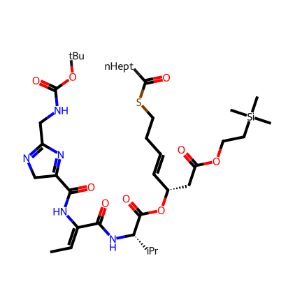 C/C=C(\NC(=O)C1=NC(CNC(=O)OC(C)(C)C)=NC1)C(=O)N[C@H](C(=O)O[C@H](/C=C/CCSC(=O)CCCCCCC)CC(=O)OCC[Si](C)(C)C)C(C)C